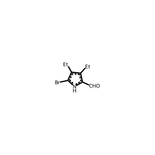 CCc1c(Br)[nH]c(C=O)c1CC